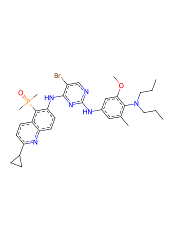 CCCN(CCC)c1c(C)cc(Nc2ncc(Br)c(Nc3ccc4nc(C5CC5)ccc4c3P(C)(C)=O)n2)cc1OC